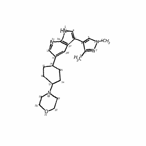 Cc1nn(C)cc1-c1c[nH]c2ncc(C3CCC(N4CCOCC4)CC3)cc12